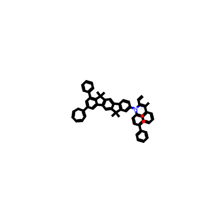 C=C/C(=C(\C)c1ccccc1)N(c1ccc(-c2ccccc2)cc1)c1ccc2c(c1)C(C)(C)c1cc3c(cc1-2)C(C)(C)c1c(-c2ccccc2)cc(C2=CC=CC=CC2)cc1-3